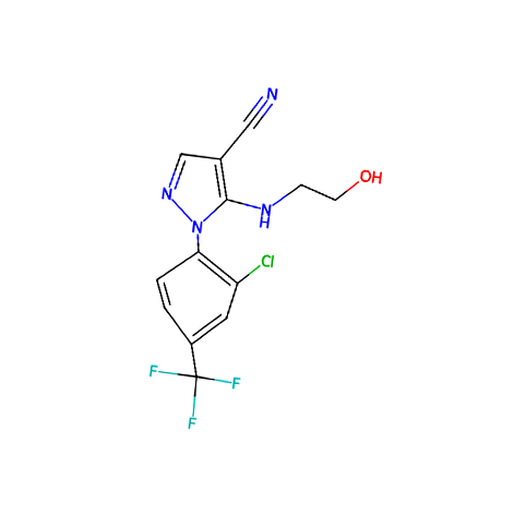 N#Cc1cnn(-c2ccc(C(F)(F)F)cc2Cl)c1NCCO